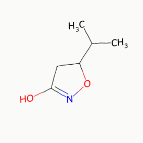 CC(C)C1CC(O)=NO1